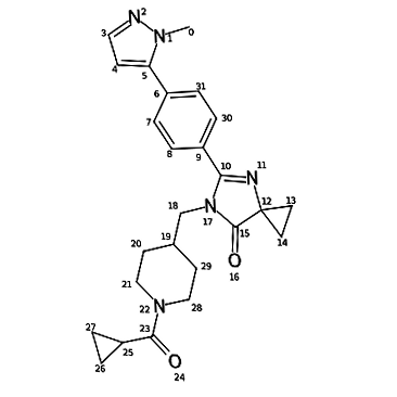 Cn1nccc1-c1ccc(C2=NC3(CC3)C(=O)N2CC2CCN(C(=O)C3CC3)CC2)cc1